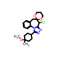 COC1(C)CCC(c2nnc3n2-c2ccccc2CC2(OCCCO2)C3Cl)CC1